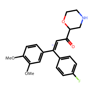 COc1ccc(/C(=C/C(=O)C2CNCCO2)c2ccc(F)cc2)cc1OC